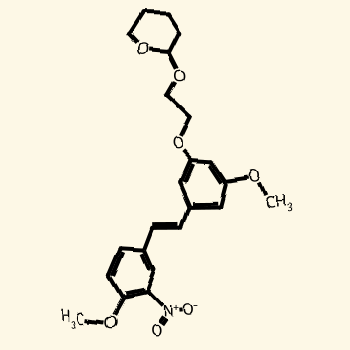 COc1cc(C=Cc2ccc(OC)c([N+](=O)[O-])c2)cc(OCCOC2CCCCO2)c1